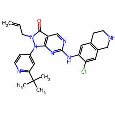 C=CCn1c(=O)c2cnc(Nc3cc4c(cc3Cl)CNCC4)nc2n1-c1ccnc(C(C)(C)C)c1